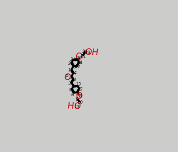 O=C(C=Cc1ccc(OCCO)cc1)C=Cc1ccc(OCCO)cc1